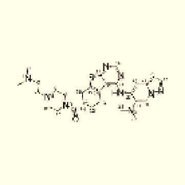 CN(C)CCN1CCN(C(=O)[C@H]2CCc3c(sc4ncnc(Nc5cc6ccnn6cc5N(C)C)c34)C2)CC1